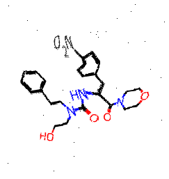 O=C(NC(Cc1ccc([N+](=O)[O-])cc1)C(=O)N1CCOCC1)N(CCO)CCc1ccccc1